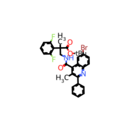 Cc1c(-c2ccccc2)nc2ccc(Br)cc2c1C(=O)NCC(C)(C(=O)OC(C)(C)C)c1c(F)cccc1F